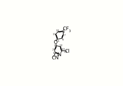 N#Cc1cc(Oc2ccc(C(F)(F)F)cc2)cc(Cl)n1